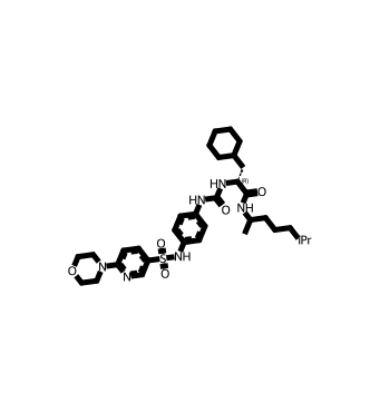 CC(C)CCCC(C)NC(=O)[C@@H](CC1CCCCC1)NC(=O)Nc1ccc(NS(=O)(=O)c2ccc(N3CCOCC3)nc2)cc1